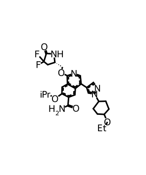 CCOC1CCC(n2cc(-c3cnc(OC[C@@H]4CC(F)(F)C(=O)N4)c4cc(OC(C)C)c(C(N)=O)cc34)cn2)CC1